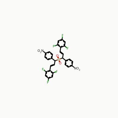 O=[N+]([O-])c1ccc(C(C=Cc2c(F)cc(F)cc2F)S(=O)(=O)C(C=Cc2c(F)cc(F)cc2F)c2ccc([N+](=O)[O-])cc2)cc1